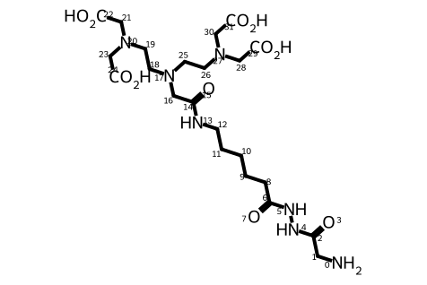 NCC(=O)NNC(=O)CCCCCNC(=O)CN(CCN(CC(=O)O)CC(=O)O)CCN(CC(=O)O)CC(=O)O